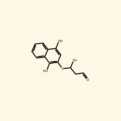 O=CCC(S)Sc1cc(O)c2ccccc2c1O